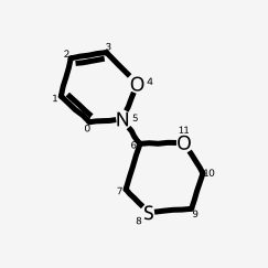 [C]1=CC=CON1C1CSCCO1